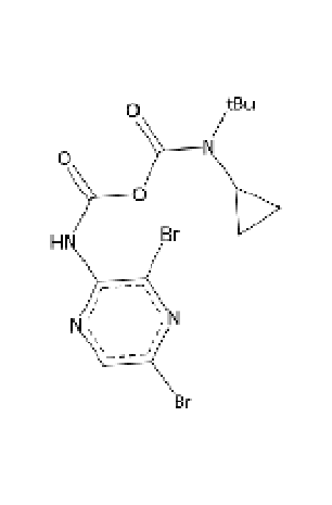 CC(C)(C)N(C(=O)OC(=O)Nc1ncc(Br)nc1Br)C1CC1